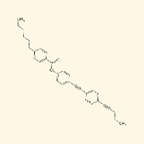 CCCC#Cc1ccc(C#Cc2ccc(OC(=O)c3ccc(CCCCCC)cc3)cc2)cc1